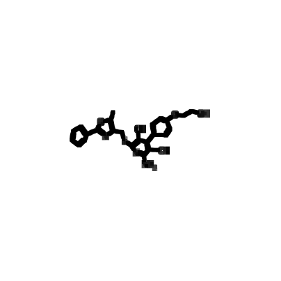 Cc1oc(-c2ccccc2)nc1CSc1nc(N)c(C#N)c(-c2ccc(OCCO)cc2)c1C#N